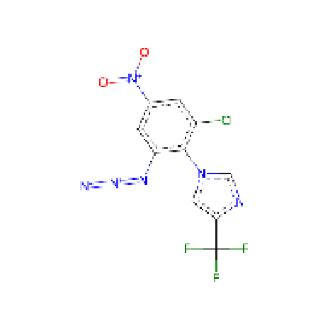 [N-]=[N+]=Nc1cc([N+](=O)[O-])cc(Cl)c1-n1cnc(C(F)(F)F)c1